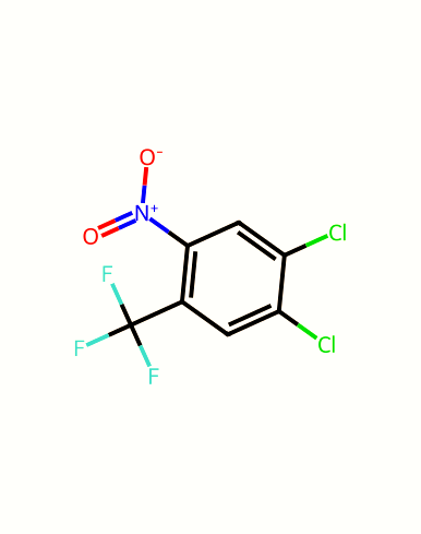 O=[N+]([O-])c1cc(Cl)c(Cl)cc1C(F)(F)F